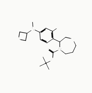 CN(c1ccc(C2COCCCN2C(=O)OC(C)(C)C)c(Cl)c1)C1COC1